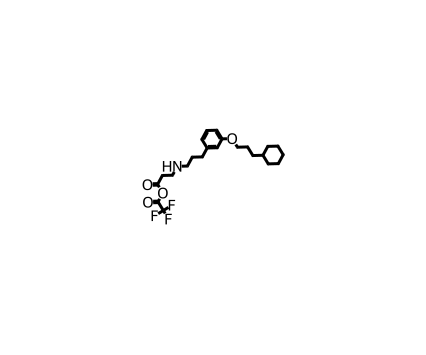 O=C(CCNCCCc1cccc(OCCCC2CCCCC2)c1)OC(=O)C(F)(F)F